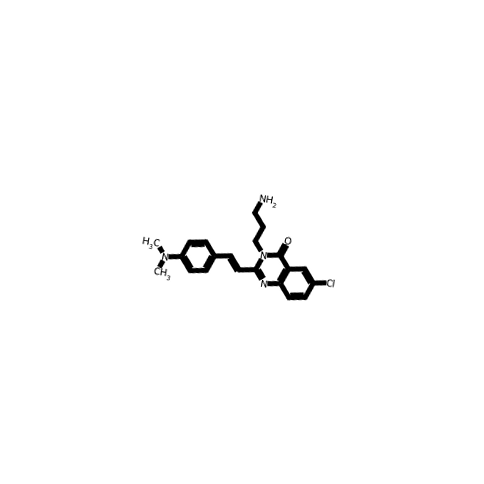 CN(C)c1ccc(C=Cc2nc3ccc(Cl)cc3c(=O)n2CCCN)cc1